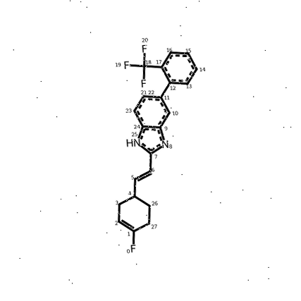 FC1=CCC(C=Cc2nc3cc(-c4ccccc4C(F)(F)F)ccc3[nH]2)CC1